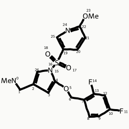 CNCc1cc(OCc2ccc(F)cc2F)n(S(=O)(=O)c2ccc(OC)nc2)c1